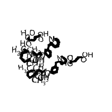 CC1(C)CCCC(C)(C)N1CC(O)COc1cccc(Cc2ccccn2)c1.CC1(C)CCCC(C)(C)N1CC(O)COc1cccc(Cc2ccccn2)c1.O.O=C(O)C=CC(=O)O.O=C(O)C=CC(=O)O